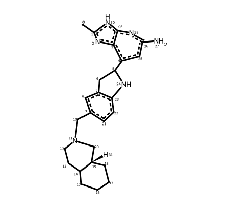 Cc1nc2c(C3Cc4cc(CN5CCC6CCCC[C@H]6C5)ccc4N3)cc(N)nc2[nH]1